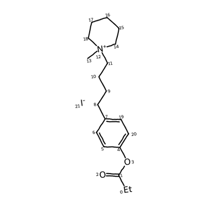 CCC(=O)Oc1ccc(CCCC[N+]2(C)CCCCC2)cc1.[I-]